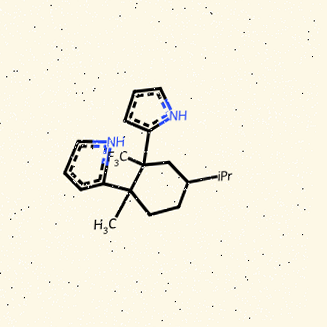 CC(C)C1CCC(C)(c2ccc[nH]2)C(c2ccc[nH]2)(C(F)(F)F)C1